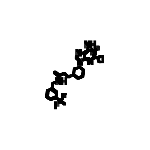 C=C(CC[C@@H]1CC=C[C@H](n2cnc3c(N)nc(Cl)nc32)C1)NCc1cccc(C(C)(F)F)c1